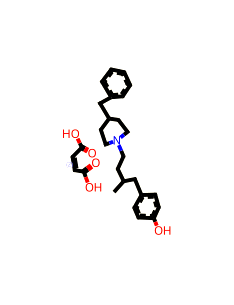 CC(CCN1CCC(Cc2ccccc2)CC1)Cc1ccc(O)cc1.O=C(O)/C=C\C(=O)O